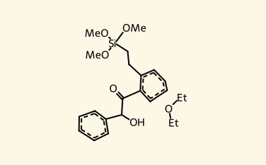 CCOCC.CO[Si](CCc1ccccc1C(=O)C(O)c1ccccc1)(OC)OC